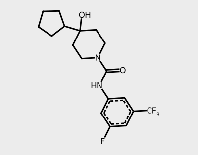 O=C(Nc1cc(F)cc(C(F)(F)F)c1)N1CCC(O)(C2CCCC2)CC1